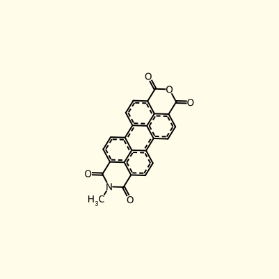 CN1C(=O)c2ccc3c4ccc5c6c(ccc(c7ccc(c2c37)C1=O)c64)C(=O)OC5=O